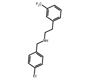 CCc1ccc(CNCCc2cccc(C(F)(F)F)c2)cc1